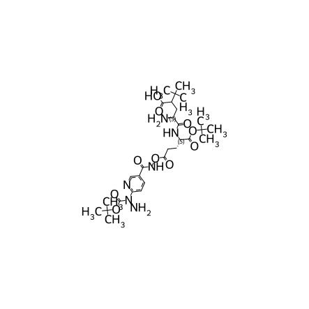 CC(C)(C)OC(=O)[C@H](CCC(=O)ONC(=O)c1ccc(N(N)C(=O)OC(C)(C)C)nc1)NC(=O)[C@@H](N)CC(C(=O)O)C(C)(C)C